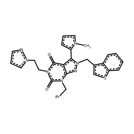 CC(C)Cn1c(=O)n(CCn2cccn2)c(=O)c2c(-c3cccn3C)n(Cc3csc4ccccc34)nc21